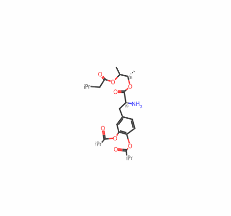 CC(C)CC(=O)OC(C)[C@H](C)OC(=O)[C@@H](N)Cc1ccc(OC(=O)C(C)C)c(OC(=O)C(C)C)c1